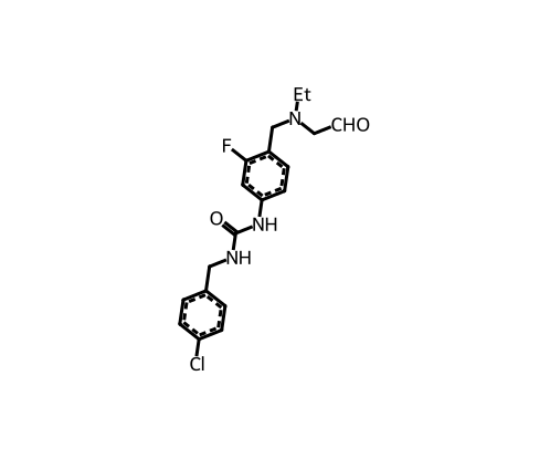 CCN(CC=O)Cc1ccc(NC(=O)NCc2ccc(Cl)cc2)cc1F